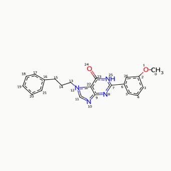 COc1cccc(-c2nc3ncn(CCCc4ccccc4)c3c(=O)[nH]2)c1